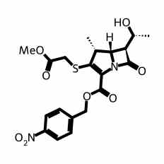 COC(=O)CSC1=C(C(=O)OCc2ccc([N+](=O)[O-])cc2)N2C(=O)[C@H]([C@@H](C)O)[C@H]2[C@H]1C